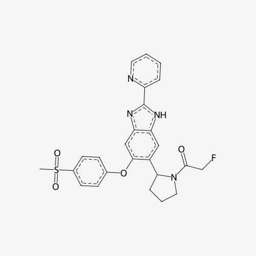 CS(=O)(=O)c1ccc(Oc2cc3nc(-c4ccccn4)[nH]c3cc2C2CCCN2C(=O)CF)cc1